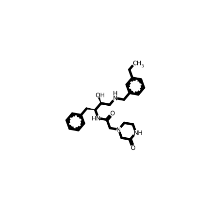 CCc1cccc(CNC[C@H](O)[C@H](Cc2ccccc2)NC(=O)CN2CCNC(=O)C2)c1